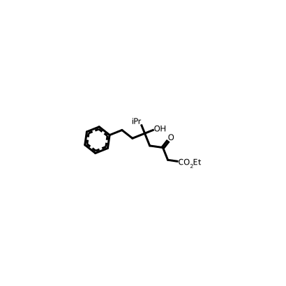 CCOC(=O)CC(=O)CC(O)(CCc1ccccc1)C(C)C